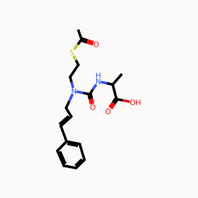 CC(=O)SCCN(CC=Cc1ccccc1)C(=O)NC(C)C(=O)O